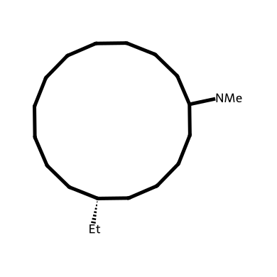 CC[C@@H]1CCCCCCCCCCC(NC)CCCC1